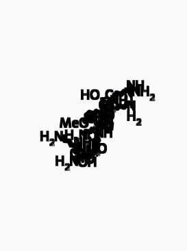 COc1ccc(C[C@H](NC(=O)[C@@H]2CCCN2C(=O)[C@@H](CCCN)NC(=O)CNC(=O)[C@H](C)NC(=O)[C@@H](NC(=O)[C@@H](N)CCCCN)[C@@H](O)CN)C(=O)N[C@@H](CCCCN)C(=O)N/C(=C\CCNC(=N)N)C(=O)O)cc1